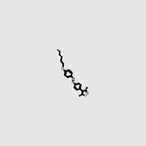 CCCCCCOc1ccc(/N=N/c2ccc(-c3c(C)noc3C)cc2)cc1